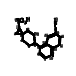 O=S(=O)(O)C1CC12CCC(c1ccnc3ccc(F)cc13)CC2